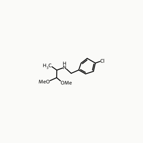 COC(OC)C(C)NCc1ccc(Cl)cc1